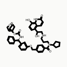 O=C(N[C@@H](c1ccccc1)c1cccc(OCc2ccc(C(=O)N(CCCNCC(O)c3ccc(O)c4[nH]c(=O)ccc34)C3CCCC3)cc2)c1)OC1CN2CCC1CC2